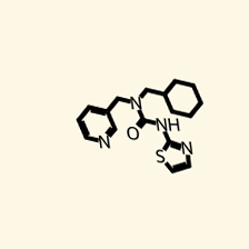 O=C(Nc1nccs1)N(Cc1cccnc1)CC1CCCCC1